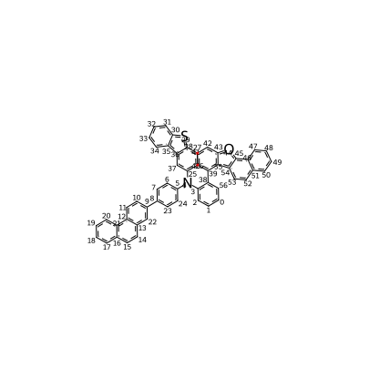 c1ccc(N(c2ccc(-c3ccc4c(ccc5ccccc54)c3)cc2)c2ccc3sc4ccccc4c3c2)c(-c2cccc3oc4c5ccccc5ccc4c23)c1